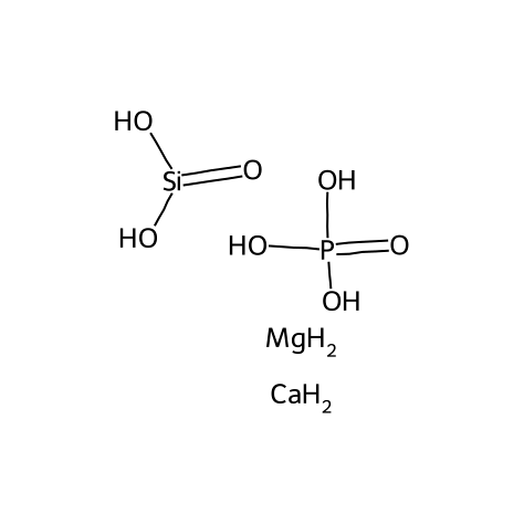 O=P(O)(O)O.O=[Si](O)O.[CaH2].[MgH2]